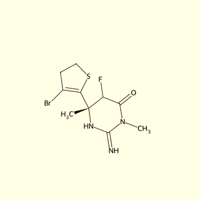 CN1C(=N)N[C@](C)(C2=C(Br)CCS2)C(F)C1=O